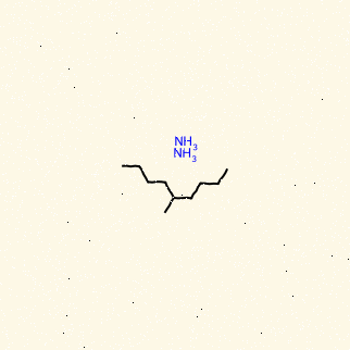 CCCCC(C)CCCC.N.N